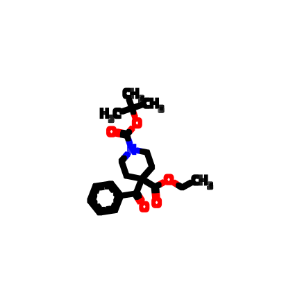 CCOC(=O)C1(C(=O)c2ccccc2)CCN(C(=O)OC(C)(C)C)CC1